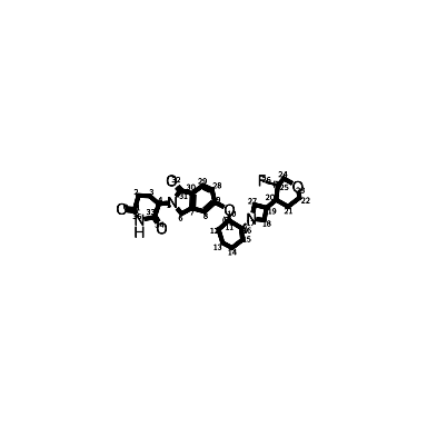 O=C1CCC(N2Cc3cc(O[C@@H]4CCCC[C@H]4N4CC(C5CCOC[C@@H]5F)C4)ccc3C2=O)C(=O)N1